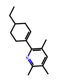 CCC1CC=C(c2nc(C)c(C)cc2C)CC1